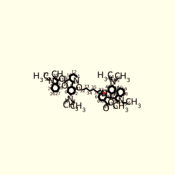 CCN(CC)c1ccc(-c2ncccc2C(=O)Oc2c(C)n(CC)c3ccccc23)c(OCCCCCCOc2cc(N(CC)CC)ccc2C2(c3c(C)n(CC)c4ccccc34)OC(=O)c3cccnc32)c1